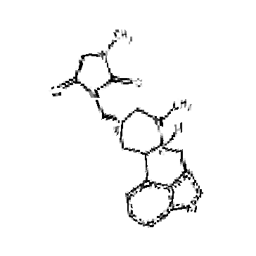 CN1CC(=O)N(C[C@@H]2CC3c4cccc5[nH]cc(c45)C[C@H]3N(C)C2)C1=O